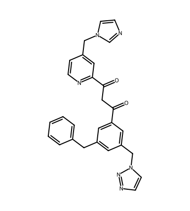 O=C(CC(=O)c1cc(Cn2ccnc2)ccn1)c1cc(Cc2ccccc2)cc(Cn2ccnn2)c1